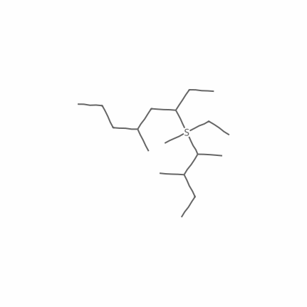 CCCC(C)CC(CC)S(C)(CC)C(C)C(C)CC